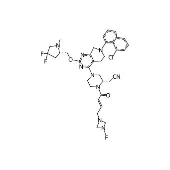 CN1CC(F)(F)C[C@H]1COc1nc2c(c(N3CCN(C(=O)/C=C/CN4CN(F)C4)[C@@H](CC#N)C3)n1)CCN(c1cccc3cccc(Cl)c13)C2